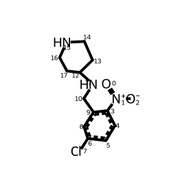 O=[N+]([O-])c1ccc(Cl)cc1CNC1CCNCC1